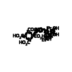 CCNC(=O)c1nnc(-c2cc(C(C)C)c(O)cc2O)n1-c1ccc(CC2CCN(C(=O)CC[C@H](C(=O)O)N3CCN(CC(=O)O)CCN(CC(=O)O)CCN(CC(=O)O)CC3)CC2)cc1